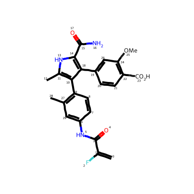 C=C(F)C(=O)Nc1ccc(-c2c(C)[nH]c(C(N)=O)c2-c2ccc(C(=O)O)c(OC)c2)c(C)c1